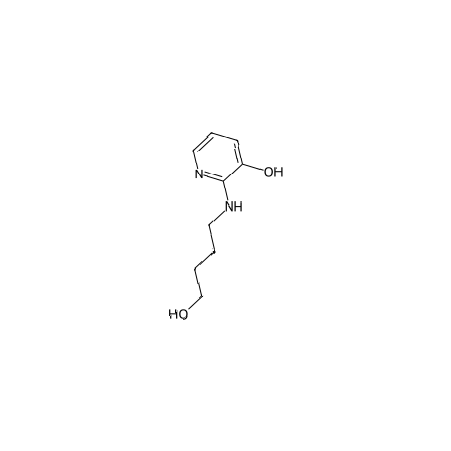 OCCCCNc1ncccc1O